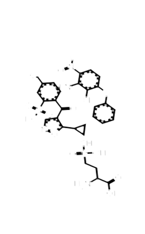 CP(=O)(O)CCC(N)C(=O)O.CS(=O)(=O)c1cc(Cl)ccc1C(=O)c1cnoc1C1CC1.Nc1c([N+](=O)[O-])ccc(Oc2ccccc2)c1Cl